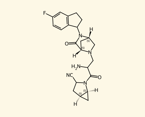 N#CC1C[C@@H]2C[C@@H]2N1C(=O)C(N)CN1C[C@@H]2C[C@H]1C(=O)N2C1CCc2cc(F)ccc21